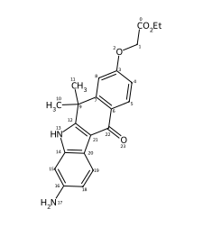 CCOC(=O)COc1ccc2c(c1)C(C)(C)c1[nH]c3cc(N)ccc3c1C2=O